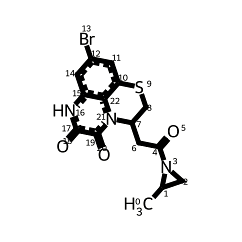 CC1CN1C(=O)CC1CSc2cc(Br)cc3[nH]c(=O)c(=O)n1c23